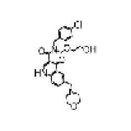 O=C(c1c[nH]c2ccc(CN3CCOCC3)cc2c1=O)N(COCCO)Cc1ccc(Cl)cc1